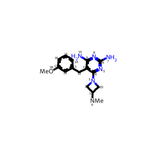 CNC1CN(c2nc(N)nc(N)c2Cc2cccc(OC)c2)C1